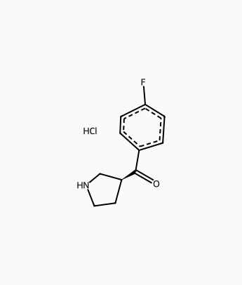 Cl.O=C(c1ccc(F)cc1)[C@H]1CCNC1